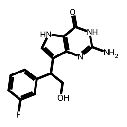 Nc1nc2c(C(CO)c3cccc(F)c3)c[nH]c2c(=O)[nH]1